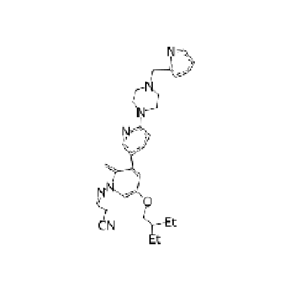 C=C1C(c2ccc(N3CCN(Cc4ccccn4)CC3)nc2)=CC(OCC(CC)CC)=CN1/N=C\CC#N